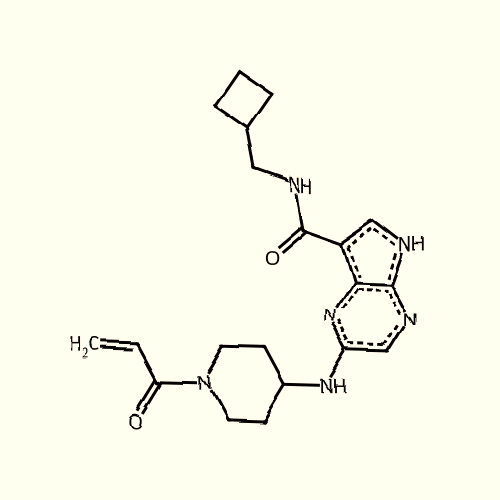 C=CC(=O)N1CCC(Nc2cnc3[nH]cc(C(=O)NCC4CCC4)c3n2)CC1